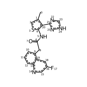 Cc1csc(NC(=O)Cc2cccc3ncc(F)cc23)c1-c1nc[nH]n1